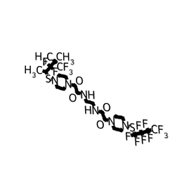 CC(SN1CCN(C(=O)C(=O)NCCNC(=O)C(=O)N2CCN(SC(F)(F)C(F)(F)C(F)(F)C(F)(F)F)CC2)CC1)C(F)(F)C(C)(C)C(F)(F)F